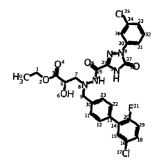 CCOC(=O)[C@H](O)CN(Cc1ccc(-c2cc(Cl)ccc2F)cc1)NC(=O)c1nn(-c2cccc(Cl)c2)c(=O)[nH]1